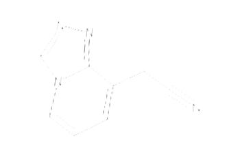 N#CCc1cccn2cnnc12